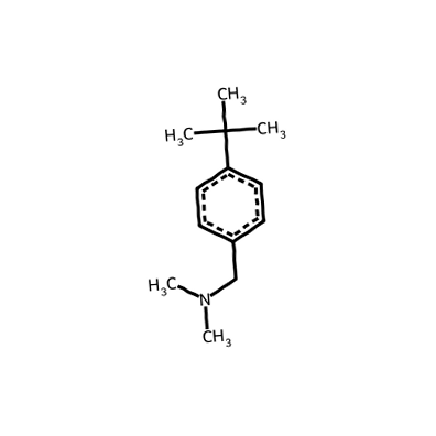 CN(C)Cc1ccc(C(C)(C)C)cc1